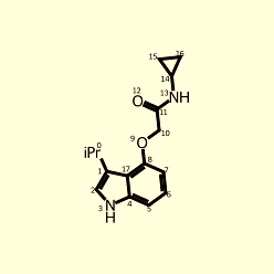 CC(C)c1c[nH]c2cccc(OCC(=O)NC3CC3)c12